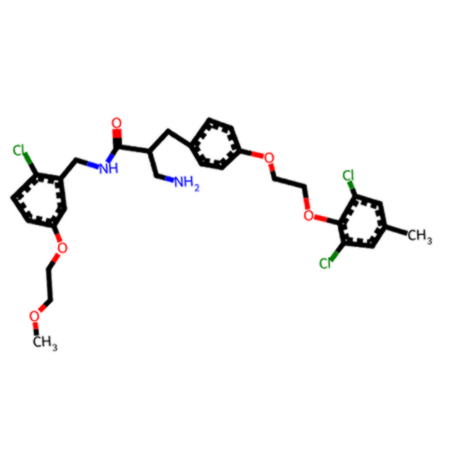 COCCOc1ccc(Cl)c(CNC(=O)C(CN)Cc2ccc(OCCOc3c(Cl)cc(C)cc3Cl)cc2)c1